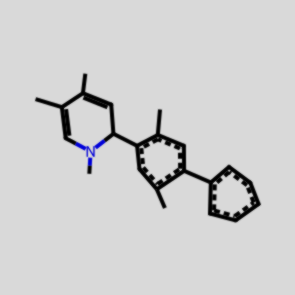 CC1=CC(c2cc(C)c(-c3ccccc3)cc2C)N(C)C=C1C